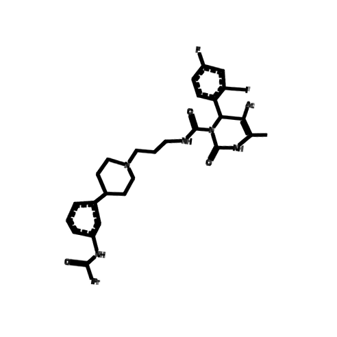 CC(=O)C1=C(C)NC(=O)N(C(=O)NCCCN2CCC(c3cccc(NC(=O)C(C)C)c3)CC2)C1c1ccc(F)cc1F